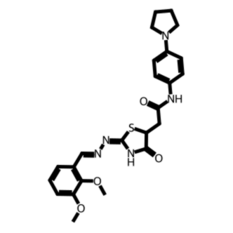 COc1cccc(/C=N/N=C2\NC(=O)C(CC(=O)Nc3ccc(N4CCCC4)cc3)S2)c1OC